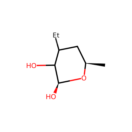 CCC1C[C@@H](C)O[C@@H](O)C1O